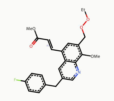 CCOOCc1cc(/C=C/C(=O)OC)c2cc(Cc3ccc(F)cc3)cnc2c1OC